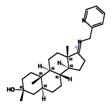 C[C@@]1(O)CC[C@@]2(C)[C@@H](CC[C@@H]3[C@@H]2CC[C@]2(C)/C(=N/Cc4ccccn4)CC[C@@H]32)C1